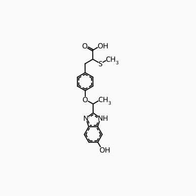 CSC(Cc1ccc(OC(C)c2nc3ccc(O)cc3[nH]2)cc1)C(=O)O